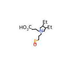 CCC1C[N+](CCCP=O)(CCCC(=O)O)CC1CC